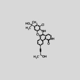 C[C@@H](O)C#Cc1ccc2nc(Nc3c(Cl)cc(C(C)(C)O)cc3Cl)c3cc[nH]c(=O)c3c2c1